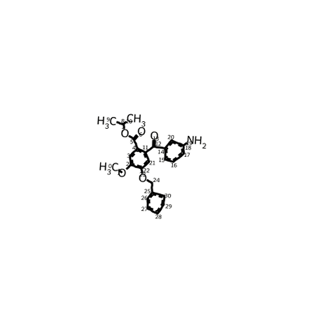 COc1cc(C(=O)OC(C)C)c(C(=O)c2cccc(N)c2)cc1OCc1ccccc1